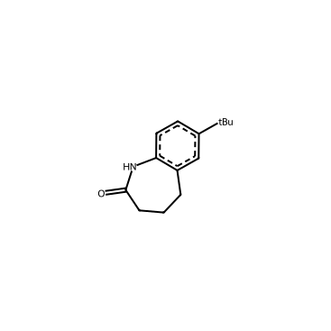 CC(C)(C)c1ccc2c(c1)CCCC(=O)N2